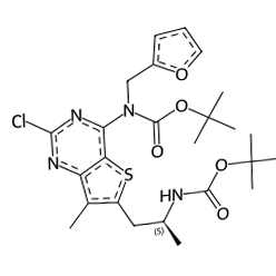 Cc1c(C[C@H](C)NC(=O)OC(C)(C)C)sc2c(N(Cc3ccco3)C(=O)OC(C)(C)C)nc(Cl)nc12